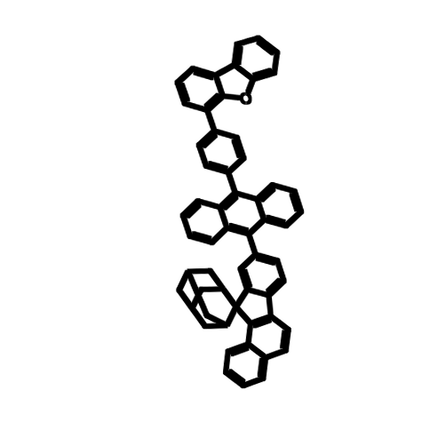 c1ccc2c3c(ccc2c1)-c1ccc(-c2c4ccccc4c(-c4ccc(-c5cccc6c5oc5ccccc56)cc4)c4ccccc24)cc1C31C2CC3CC(C2)CC1C3